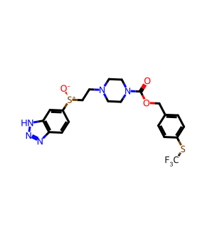 O=C(OCc1ccc(SC(F)(F)F)cc1)N1CCN(CC[S@@+]([O-])c2ccc3nn[nH]c3c2)CC1